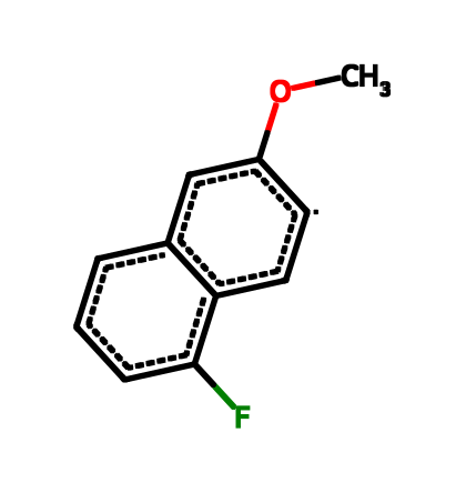 COc1[c]cc2c(F)cccc2c1